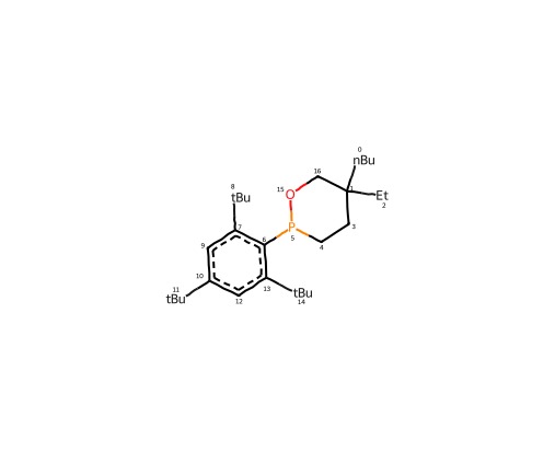 CCCCC1(CC)CCP(c2c(C(C)(C)C)cc(C(C)(C)C)cc2C(C)(C)C)OC1